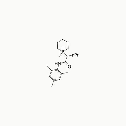 CCCC(C(=O)Nc1c(C)cc(C)cc1C)[PH]1(C)CCCCC1